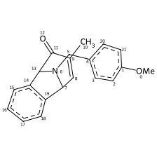 COc1ccc(CN2C3C=C(C)C(=O)C2c2ccccc23)cc1